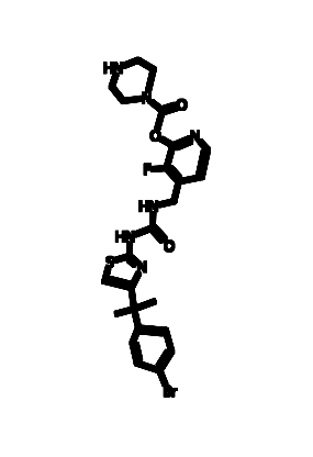 CC(C)(c1ccc(Br)cc1)c1csc(NC(=O)NCc2ccnc(OC(=O)N3CCNCC3)c2F)n1